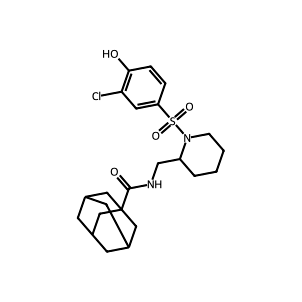 O=C(NCC1CCCCN1S(=O)(=O)c1ccc(O)c(Cl)c1)C12CC3CC(CC(C3)C1)C2